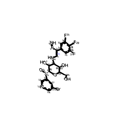 N=N/C(=C\NC1C(O)[C@@H]([S+]([O-])c2cncc(Br)c2)OC(CO)[C@@H]1O)c1cc(F)c(F)c(F)c1